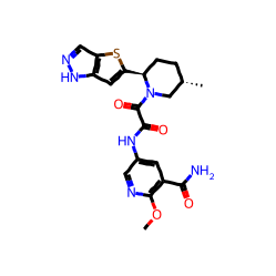 COc1ncc(NC(=O)C(=O)N2C[C@@H](C)CC[C@@H]2c2cc3[nH]ncc3s2)cc1C(N)=O